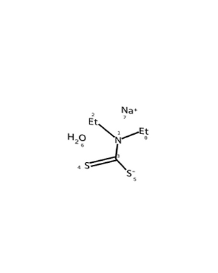 CCN(CC)C(=S)[S-].O.[Na+]